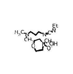 CCN=C=NCCCN(C)C.C[N+]1([O-])CCOCC1.Cl